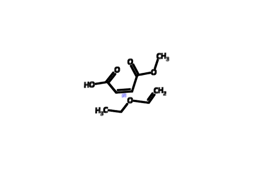 C=COCC.COC(=O)/C=C\C(=O)O